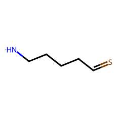 [NH]CCCCC=S